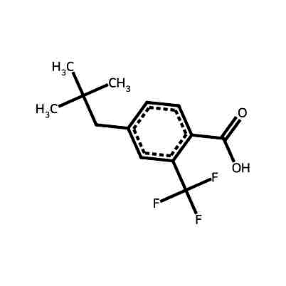 CC(C)(C)Cc1ccc(C(=O)O)c(C(F)(F)F)c1